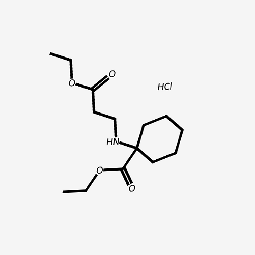 CCOC(=O)CCNC1(C(=O)OCC)CCCCC1.Cl